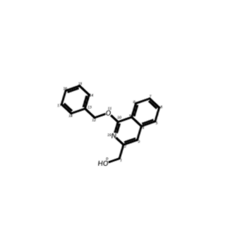 OCc1cc2ccccc2c(OCc2ccccc2)n1